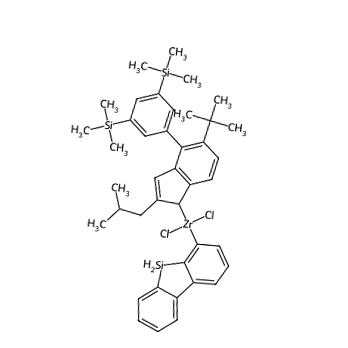 CC(C)CC1=Cc2c(ccc(C(C)(C)C)c2-c2cc([Si](C)(C)C)cc([Si](C)(C)C)c2)[CH]1[Zr]([Cl])([Cl])[c]1cccc2c1[SiH2]c1ccccc1-2